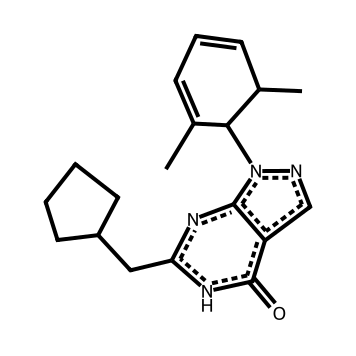 CC1=CC=CC(C)C1n1ncc2c(=O)[nH]c(CC3CCCC3)nc21